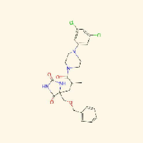 CC(CC1(COCc2ccccc2)NC(=O)NC1=O)C(=O)N1CCN(c2cc(Cl)cc(Cl)c2)CC1